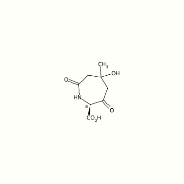 CC1(O)CC(=O)N[C@H](C(=O)O)C(=O)C1